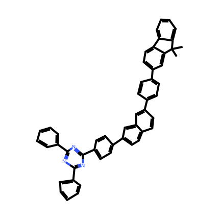 CC1(C)c2ccccc2-c2ccc(-c3ccc(-c4ccc5ccc(-c6ccc(-c7nc(-c8ccccc8)nc(-c8ccccc8)n7)cc6)cc5c4)cc3)cc21